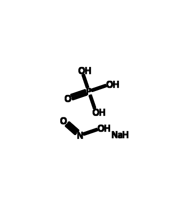 O=NO.O=P(O)(O)O.[NaH]